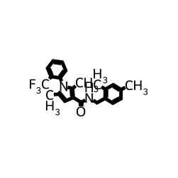 Cc1ccc(CNC(=O)c2cc(C)n(-c3ccccc3C(F)(F)F)c2C)c(C)c1